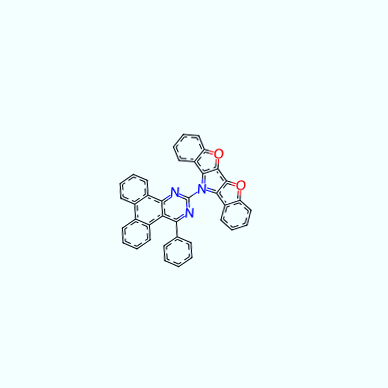 c1ccc(-c2nc(-n3c4c5ccccc5oc4c4oc5ccccc5c43)nc3c4ccccc4c4ccccc4c23)cc1